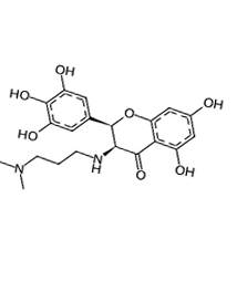 CN(C)CCCN[C@@H]1C(=O)c2c(O)cc(O)cc2O[C@@H]1c1cc(O)c(O)c(O)c1